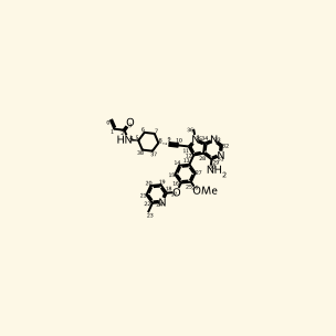 C=CC(=O)N[C@H]1CC[C@H](C#Cc2c(-c3ccc(Oc4cccc(C)n4)c(OC)c3)c3c(N)ncnc3n2C)CC1